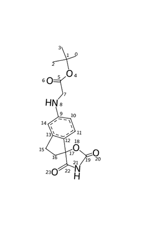 CC(C)(C)OC(=O)CNc1ccc2c(c1)CCC21OC(=O)NC1=O